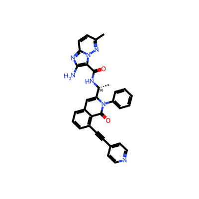 Cc1ccc2nc(N)c(C(=O)N[C@H](C)c3cc4cccc(C#Cc5ccncc5)c4c(=O)n3-c3ccccc3)n2n1